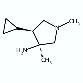 CN1C[C@H](C2CC2)[C@](C)(N)C1